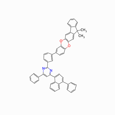 CC1(C)c2ccccc2-c2cc3c(cc21)Oc1ccc(-c2cccc(-c4nc(-c5ccccc5)cc(-c5ccc(-c6ccccc6)c6ccccc56)n4)c2)cc1O3